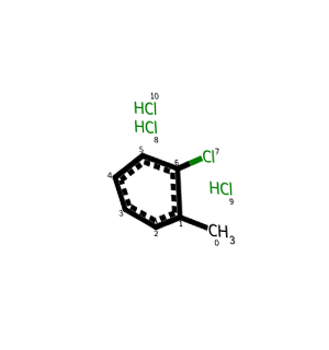 Cc1ccccc1Cl.Cl.Cl.Cl